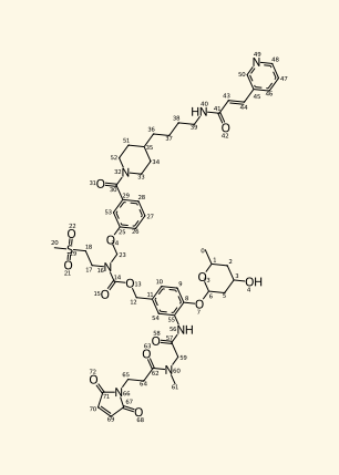 CC1CC(O)CC(Oc2ccc(COC(=O)N(CCS(C)(=O)=O)COc3cccc(C(=O)N4CCC(CCCCNC(=O)/C=C/c5cccnc5)CC4)c3)cc2NC(=O)CN(C)C(=O)CCN2C(=O)C=CC2=O)O1